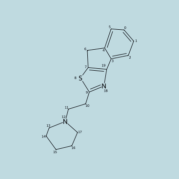 c1ccc2c(c1)Cc1sc(CCN3CCCCC3)nc1-2